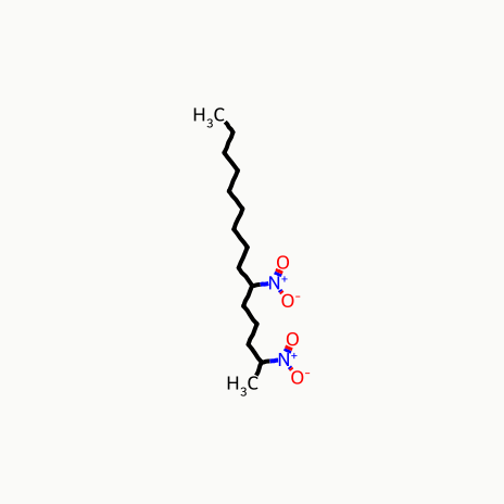 CCCCCCCCCC(CCCC(C)[N+](=O)[O-])[N+](=O)[O-]